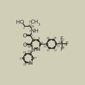 C[C@@H](CO)NC(=O)c1cc(-c2ccc(C(F)(F)F)cc2)nn(-c2cccnc2)c1=O